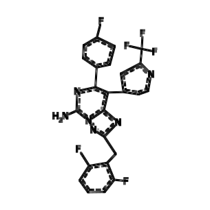 Nc1nc(-c2ccc(F)cc2)c(-c2ccnc(C(F)(F)F)c2)c2nc(Cc3c(F)cccc3F)nn12